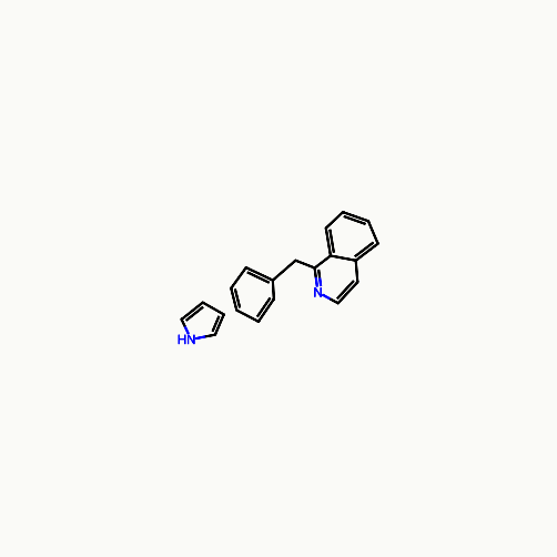 c1cc[nH]c1.c1ccc(Cc2nccc3ccccc23)cc1